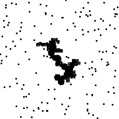 CCCCCNc1nc(N)nc2ccn(Cc3ccc(CN4CC5(C4)CN(C(=O)OCc4ccc(NC(=O)[C@H](CCCNC(N)=O)NC(=O)[C@@H](NC(=O)OCC6c7ccccc7-c7ccccc76)C(C)C)cc4)CCO5)cc3OC)c12